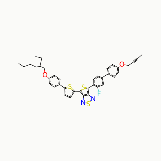 CC#CCOc1ccc(-c2ccc(-c3sc(-c4ccc(-c5ccc(OCC(CC)CCCC)cc5)s4)c4c3N=S=N4)c(F)c2)cc1